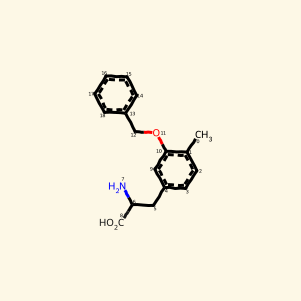 Cc1ccc(CC(N)C(=O)O)cc1OCc1ccccc1